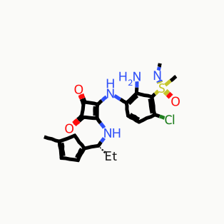 CC[C@@H](Nc1c(Nc2ccc(Cl)c(S(C)(=O)=NC)c2N)c(=O)c1=O)C1=CC=C(C)C1